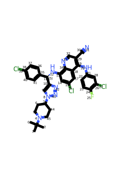 CC(C)(C)N1CCC(n2cc([C@@H](Nc3cc(Cl)cc4c(Nc5ccc(F)c(Cl)c5)c(C#N)cnc34)c3ccc(Cl)cc3)nn2)CC1